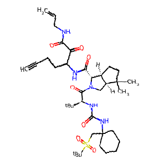 C#CCCC(NC(=O)[C@@H]1[C@H]2CCC(C)(C)[C@H]2CN1C(=O)[C@@H](NC(=O)NC1(CS(=O)(=O)C(C)(C)C)CCCCC1)C(C)(C)C)C(=O)C(=O)NCC=C